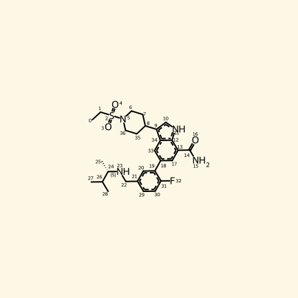 CCS(=O)(=O)N1CCC(c2c[nH]c3c(C(N)=O)cc(-c4cc(CN[C@@H](C)C(C)C)ccc4F)cc23)CC1